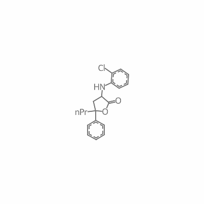 CCCC1(c2ccccc2)CC(Nc2ccccc2Cl)C(=O)O1